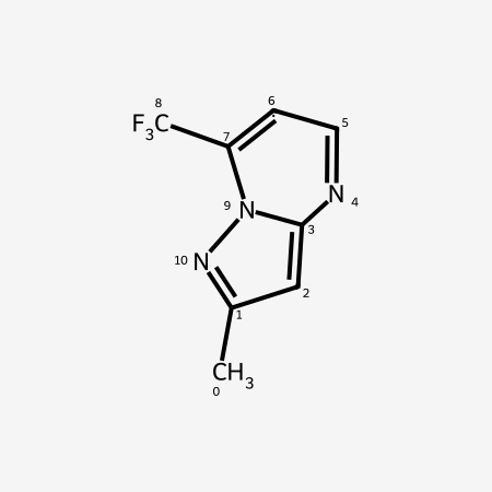 Cc1cc2nc[c]c(C(F)(F)F)n2n1